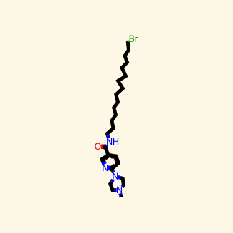 CN1CCN(c2ccc(C(=O)NCCCCCCCCCCCCCCCBr)cn2)CC1